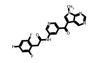 Cn1cc(C(=O)c2cncc(NC(=O)Cc3c(F)cc(F)cc3F)c2)c2cncnc21